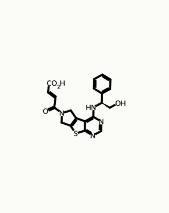 O=C(O)/C=C/C(=O)N1Cc2sc3ncnc(N[C@H](CO)c4ccccc4)c3c2C1